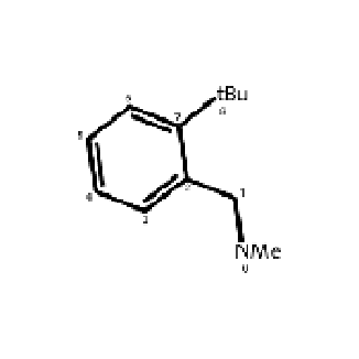 CNCc1ccccc1C(C)(C)C